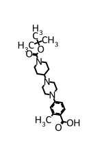 Cc1cc(N2CCN(C3CCN(C(=O)OC(C)(C)C)CC3)CC2)ccc1C(=O)O